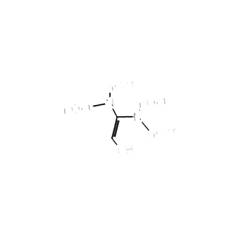 CC=C(N(CCCCCCCC)CCCCCCCC)N(CCCCCCCC)CCCCCCCC